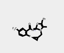 Cc1c(C(C)C)o/c(=N\C(=O)c2cc(C(F)(F)F)ccc2F)n1CC1CC1